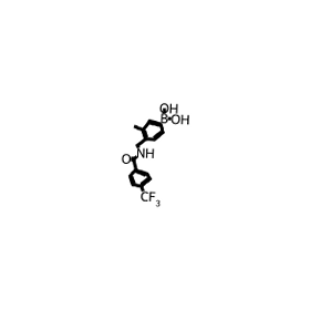 Cc1cc(B(O)O)ccc1CNC(=O)c1ccc(C(F)(F)F)cc1